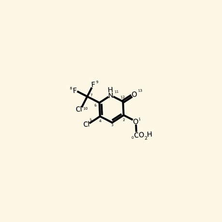 O=C(O)Oc1cc(Cl)c(C(F)(F)Cl)[nH]c1=O